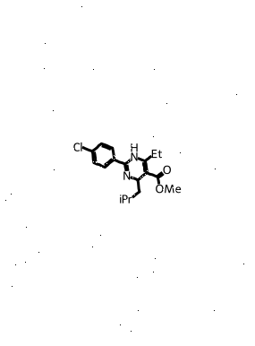 CCC1=C(C(=O)OC)C(CC(C)C)N=C(c2ccc(Cl)cc2)N1